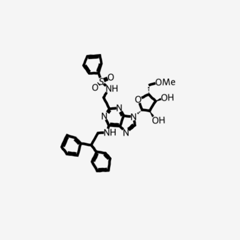 COC[C@H]1O[C@@H](n2cnc3c(NCC(c4ccccc4)c4ccccc4)nc(CNS(=O)(=O)c4ccccc4)nc32)[C@H](O)[C@@H]1O